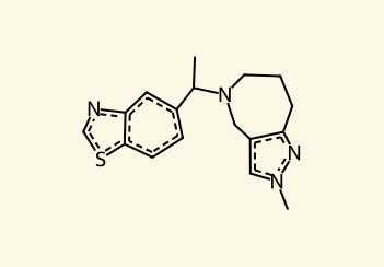 CC(c1ccc2scnc2c1)N1CCCc2nn(C)cc2C1